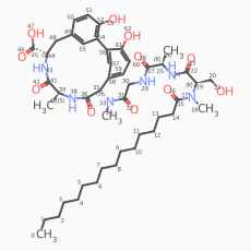 CCCCCCCCCCCCCCCC(=O)N(C)[C@H](CO)C(=O)N[C@H](C)C(=O)NCC(=O)N(C)[C@@H]1C(=O)N[C@@H](C)C(=O)N[C@H](C(=O)O)Cc2ccc(O)c(c2)-c2cc1ccc2O